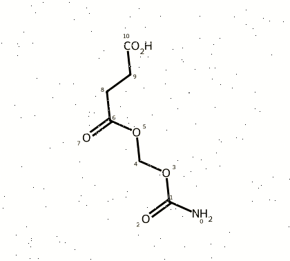 NC(=O)OCOC(=O)CCC(=O)O